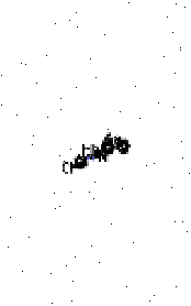 CC(=O)c1ccccc1-c1ccc2[nH]c(/C=C/c3ccc(Cl)cc3)nc2c1